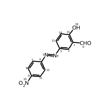 O=Cc1cc(N=Nc2ccc([N+](=O)[O-])cc2)ccc1O